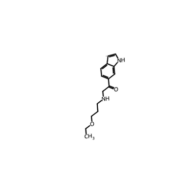 CCOCCCNCC(=O)c1ccc2[c]c[nH]c2c1